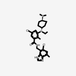 CCN(c1cc(Cl)cc(C(=O)NCc2c(Cl)cc(C)c3nc[nH]c23)c1C)[C@H]1CC[C@H](N(C)C)CC1